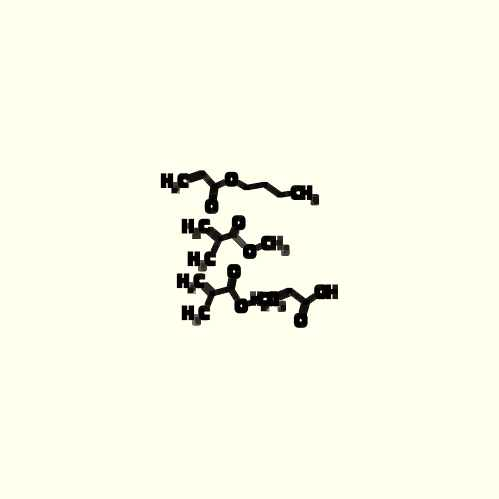 C=C(C)C(=O)OC.C=C(C)C(=O)OC.C=CC(=O)O.C=CC(=O)OCCCC